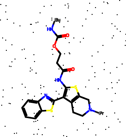 CCC(C)NC(=O)OCCC(=O)Nc1sc2c(c1-c1nc3ccccc3s1)CCN(C(C)C)C2